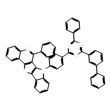 c1ccc(-c2cccc(-c3nc(-c4ccccc4)nc(-c4ccc(-n5c6ccccc6c6oc7c8ccccc8nc(-c8ccccc8)c7c65)cc4)n3)c2)cc1